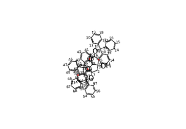 O=C(CC(O)(CC(=O)OC(c1ccccc1)(c1ccccc1)c1ccccc1)C(=O)OC(c1ccccc1)(c1ccccc1)c1ccccc1)OC(c1ccccc1)(c1ccccc1)c1ccccc1